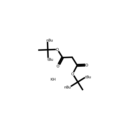 CCCCC(C)(OC(=O)CC(=O)OC(C)(CCCC)C(C)(C)C)C(C)(C)C.[KH]